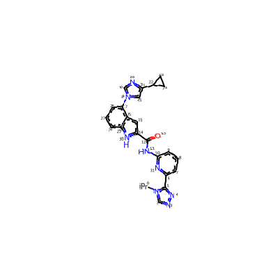 CC(C)n1cnnc1-c1cccc(NC(=O)c2cc3c(-n4cnc(C5CC5)c4)cccc3[nH]2)n1